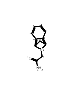 NC(=O)Cn1c2c3ccccc3c1C2